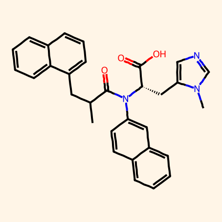 CC(Cc1cccc2ccccc12)C(=O)N(c1ccc2ccccc2c1)[C@@H](Cc1cncn1C)C(=O)O